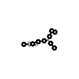 c1ccc(-c2ccc(N(c3ccc(-c4ccc5c(c4)oc4cc6nc(-c7ccccc7)oc6cc45)cc3)c3ccc(-c4cccc5ccccc45)cc3)cc2)cc1